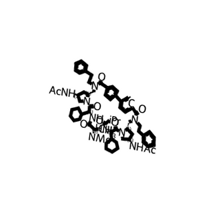 CN[C@@H](C)C(=O)N[C@H](C(=O)N1C[C@@H](NC(C)=O)C[C@H]1CN(CCc1ccccc1)C(=O)c1ccc(-c2ccc(C(=O)N(CCc3ccccc3)C[C@@H]3C[C@H](NC(C)=O)CN3C(=O)[C@@H](NC(=O)C(C)C)C3CCCCC3)cc2)cc1)C1CCCCC1